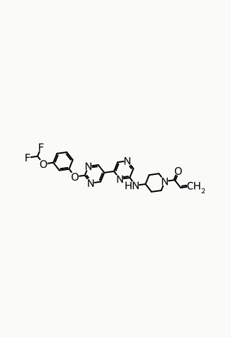 C=CC(=O)N1CCC(Nc2cncc(-c3cnc(Oc4cccc(OC(F)F)c4)nc3)n2)CC1